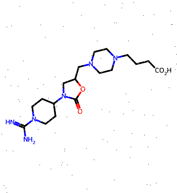 N=C(N)N1CCC(N2CC(CN3CCN(CCCC(=O)O)CC3)OC2=O)CC1